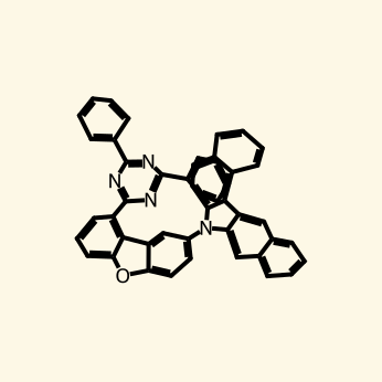 c1ccc(-c2nc(-c3ccccc3)nc(-c3cccc4oc5ccc(-n6c7cc8ccccc8cc7c7c8ccccc8ccc76)cc5c34)n2)cc1